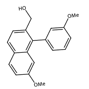 COc1cccc(-c2c(CO)ccc3ccc(OC)cc23)c1